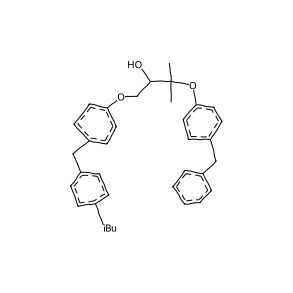 CCC(C)c1ccc(Cc2ccc(OCC(O)C(C)(C)Oc3ccc(Cc4ccccc4)cc3)cc2)cc1